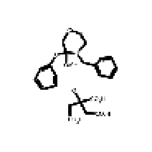 COC1(Oc2ccccc2)COCCN1Cc1ccccc1.O=C(O)CC(O)(CC(=O)O)C(=O)O